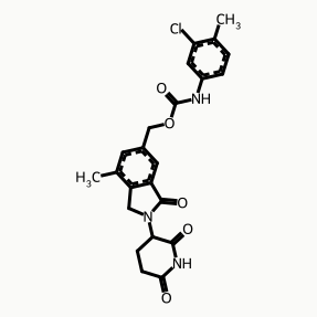 Cc1ccc(NC(=O)OCc2cc(C)c3c(c2)C(=O)N(C2CCC(=O)NC2=O)C3)cc1Cl